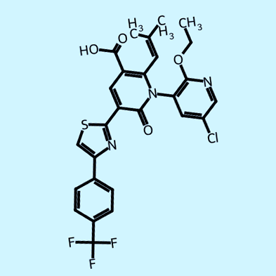 CCOc1ncc(Cl)cc1-n1c(C=C(C)C)c(C(=O)O)cc(-c2nc(-c3ccc(C(F)(F)F)cc3)cs2)c1=O